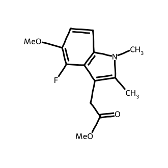 COC(=O)Cc1c(C)n(C)c2ccc(OC)c(F)c12